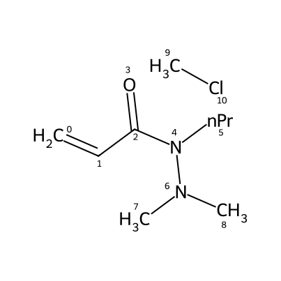 C=CC(=O)N(CCC)N(C)C.CCl